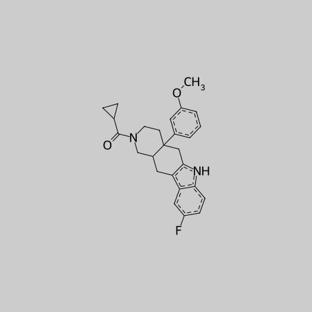 COc1cccc(C23CCN(C(=O)C4CC4)CC2Cc2c([nH]c4ccc(F)cc24)C3)c1